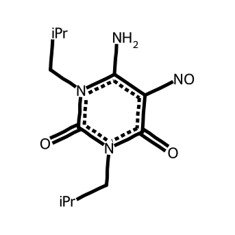 CC(C)Cn1c(N)c(N=O)c(=O)n(CC(C)C)c1=O